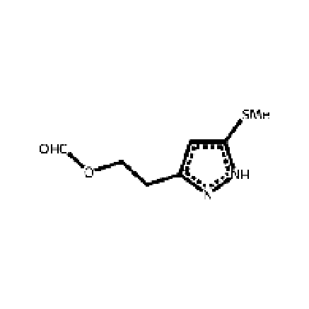 CSc1cc(CCOC=O)n[nH]1